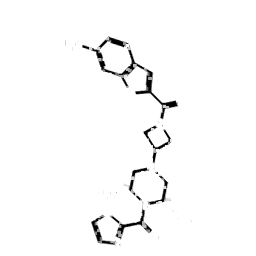 C[C@@H]1CN(C2CN(C(=O)c3cc4ccc(C(F)(F)F)cc4s3)C2)C[C@H](C)N1C(=O)c1nccs1